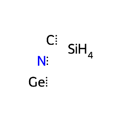 [C].[Ge].[N].[SiH4]